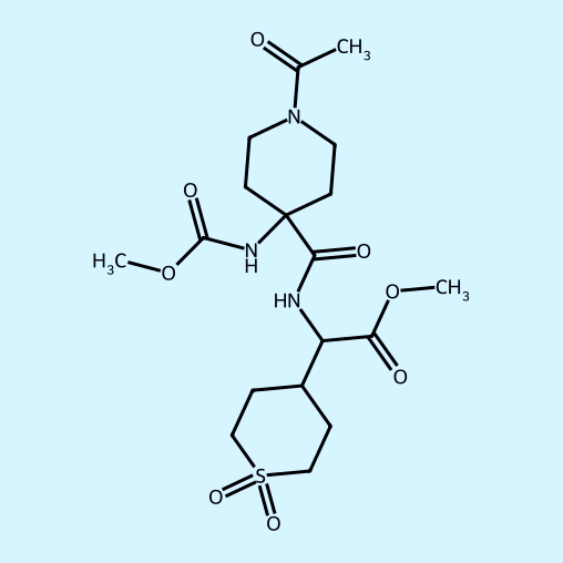 COC(=O)NC1(C(=O)NC(C(=O)OC)C2CCS(=O)(=O)CC2)CCN(C(C)=O)CC1